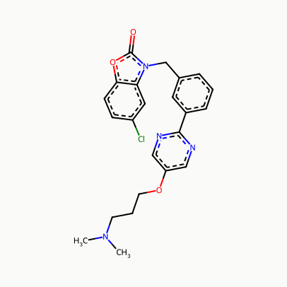 CN(C)CCCOc1cnc(-c2cccc(Cn3c(=O)oc4ccc(Cl)cc43)c2)nc1